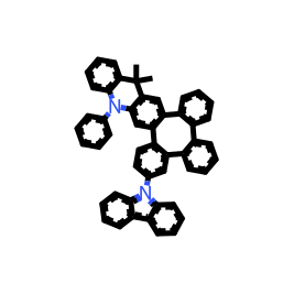 CC1(C)c2ccccc2N(c2ccccc2)c2cc3c(cc21)-c1ccccc1-c1ccccc1-c1cc(-n2c4ccccc4c4ccccc42)ccc1-3